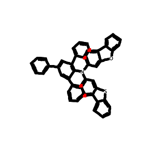 c1ccc(-c2cc(-c3ccccc3)c(N(c3ccc4c(c3)oc3ccccc34)c3ccc4c(c3)sc3ccccc34)c(-c3ccccc3)c2)cc1